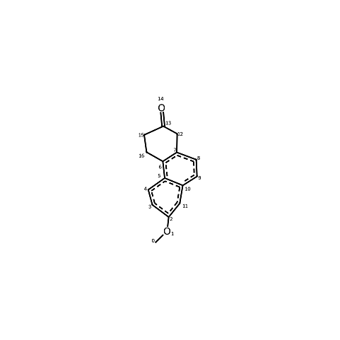 COc1ccc2c3c(ccc2c1)CC(=O)CC3